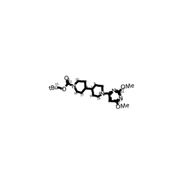 COc1cc(N2CCC(C3CCN(C(=O)OC(C)(C)C)CC3)CC2)nc(OC)n1